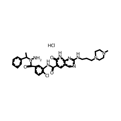 CC(c1ccccc1)N(N)C(=O)c1ccc(Cl)c(NC(=O)c2cc3cnc(NCCCN4CCN(C)CC4)nc3[nH]c2=O)c1.Cl